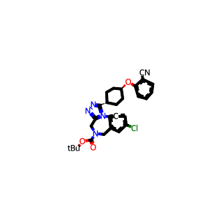 CC(C)(C)OC(=O)N1Cc2cc(Cl)ccc2-n2c(nnc2[C@H]2CC[C@H](Oc3ccccc3C#N)CC2)C1